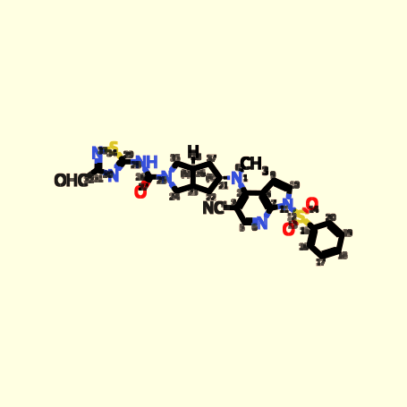 CN(c1c(C#N)cnc2c1ccn2S(=O)(=O)c1ccccc1)[C@@H]1CC2CN(C(=O)Nc3nc(C=O)ns3)C[C@H]2C1